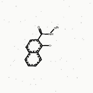 CCCNC(=O)c1ccc2ccccc2c1[O]